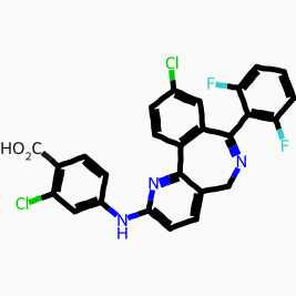 O=C(O)c1ccc(Nc2ccc3c(n2)-c2ccc(Cl)cc2C(c2c(F)cccc2F)=NC3)cc1Cl